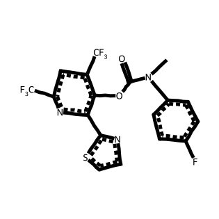 CN(C(=O)Oc1c(C(F)(F)F)cc(C(F)(F)F)nc1-c1nccs1)c1ccc(F)cc1